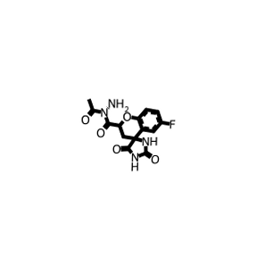 CC(=O)N(N)C(=O)C1CC2(NC(=O)NC2=O)c2cc(F)ccc2O1